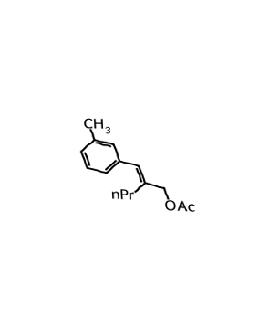 CCC/C(=C\c1cccc(C)c1)COC(C)=O